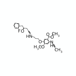 CC#CNc1cc(OC)c(OCCCNC#CCC(=O)Cc2ccccc2F)cc1C(=O)OC